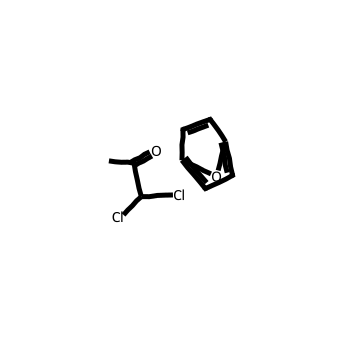 CC(=O)C(Cl)Cl.c1cc2ccc1o2